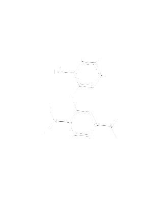 CC(=O)c1ccc([N+](=O)[O-])c(Oc2ccccc2Br)c1